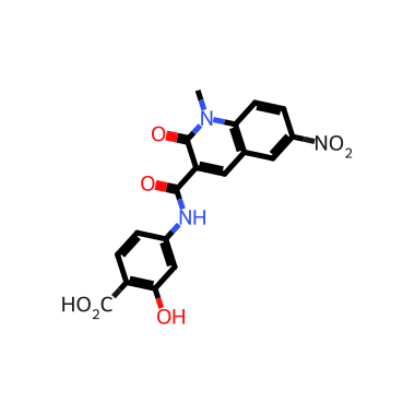 Cn1c(=O)c(C(=O)Nc2ccc(C(=O)O)c(O)c2)cc2cc([N+](=O)[O-])ccc21